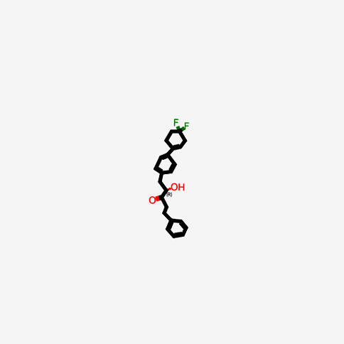 O=C(CCc1ccccc1)[C@H](O)Cc1ccc(C2=CCC(F)(F)CC2)cc1